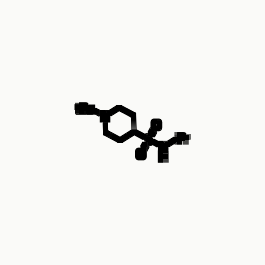 CC(C)NS(=O)(=O)C1CCN(C(C)(C)C)CC1